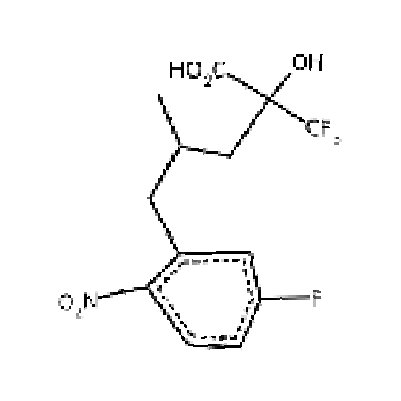 CC(Cc1cc(F)ccc1[N+](=O)[O-])CC(O)(C(=O)O)C(F)(F)F